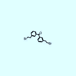 O=C(c1cccc(CCBr)c1)c1cccc(CCBr)c1